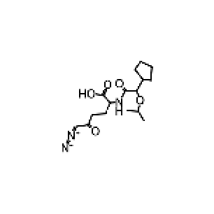 CC(C)OC(C(=O)NC(CCC(=O)C=[N+]=[N-])C(=O)O)C1CCCC1